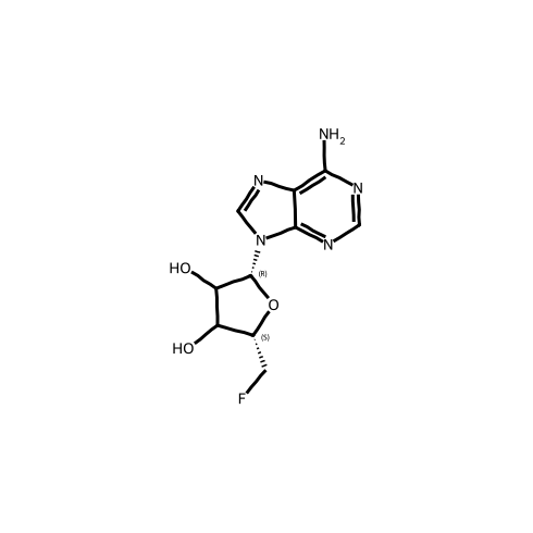 Nc1ncnc2c1ncn2[C@@H]1O[C@H](CF)C(O)C1O